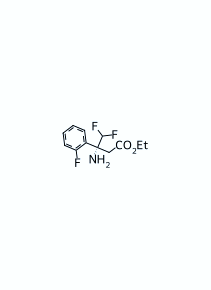 CCOC(=O)C[C@@](N)(c1ccccc1F)C(F)F